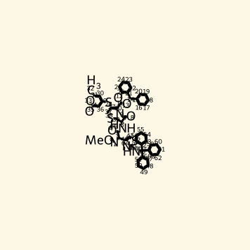 CO/N=C(\C(=O)N[C@@H]1C(=O)N2C(C(=O)OC(c3ccccc3)c3ccccc3)=C(Sc3cc(C)oc(=O)c3)CS[C@H]12)c1csc(NC(c2ccccc2)(c2ccccc2)c2ccccc2)n1